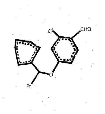 CCC(Oc1ccc(C=O)c(Cl)c1)c1ccccc1